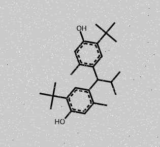 Cc1cc(O)c(C(C)(C)C)cc1C(c1cc(C(C)(C)C)c(O)cc1C)C(C)C